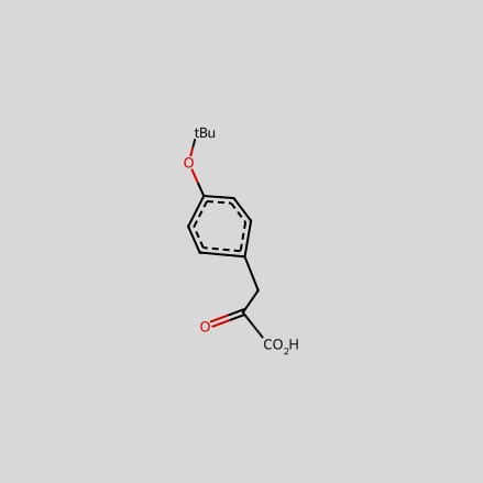 CC(C)(C)Oc1ccc(CC(=O)C(=O)O)cc1